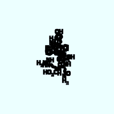 CC(C)[C@H](N)C(=O)N[C@@H](Cc1ccc(O)cc1)C(=O)N1CCC[C@H]1C(=O)N[C@@H](Cc1c[nH]c2ccccc12)C(=O)N[C@H](C(=O)N[C@@H](CCC(N)=O)C(=O)N[C@@H](CCCNC(=N)N)C(=O)O)[C@@H](C)O